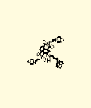 O=C1c2ccc3c4c(c(NCCCN5CCOCC5)cc(c24)C(=O)N1CCCN1CCOCC1)C(=O)N(CCCN1CCOCC1)C3=O